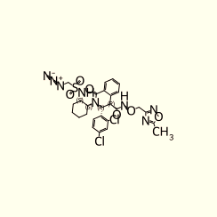 Cc1nc(CONC(=O)[C@@H]2c3ccccc3C(=O)N([C@H]3CCCC[C@@H]3NS(=O)(=O)CN=[N+]=[N-])[C@H]2c2ccc(Cl)cc2Cl)no1